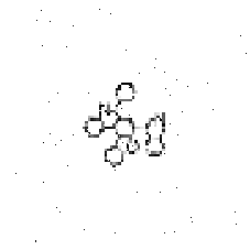 c1ccc(-c2nc3ccccc3c3c2cc(-c2cncc4ccccc24)c2oc4ccccc4c23)cc1